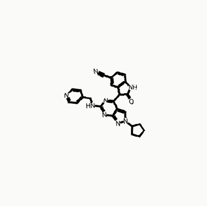 N#Cc1ccc2c(c1)C(c1nc(NCc3ccncc3)nc3nn(C4CCCC4)cc13)C(=O)N2